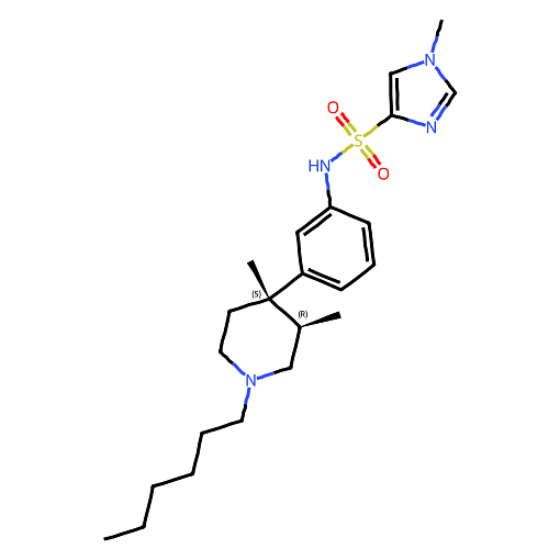 CCCCCCN1CC[C@](C)(c2cccc(NS(=O)(=O)c3cn(C)cn3)c2)[C@@H](C)C1